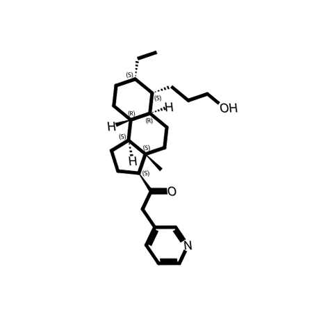 CC[C@H]1CC[C@@H]2[C@H](CC[C@]3(C)[C@@H](C(=O)Cc4cccnc4)CC[C@@H]23)[C@H]1CCCO